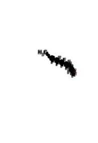 CCCCCc1ccc(-c2cc(F)c(-c3cc(F)c(-c4cc(F)c(C(F)(F)Oc5cc(F)c(OC(F)(F)F)c(F)c5)c(F)c4)c(F)c3)c(F)c2)c(F)c1